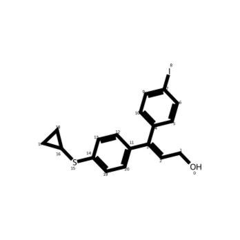 OC/C=C(\c1ccc(I)cc1)c1ccc(SC2CC2)cc1